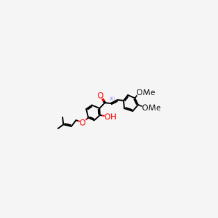 COc1ccc(/C=C/C(=O)c2ccc(OCC=C(C)C)cc2O)cc1OC